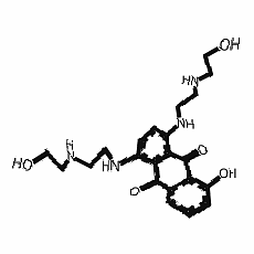 O=C1c2cccc(O)c2C(=O)c2c(NCCNCCO)ccc(NCCNCCO)c21